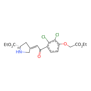 CCOC(=O)COc1ccc(C(=O)C=C2CN[C@H](C(=O)OCC)C2)c(Cl)c1Cl